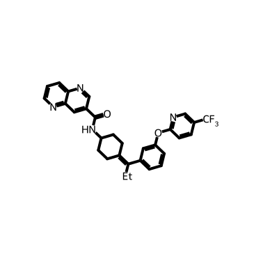 CCC(=C1CCC(NC(=O)c2cnc3cccnc3c2)CC1)c1cccc(Oc2ccc(C(F)(F)F)cn2)c1